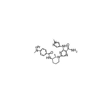 CCCN(C)c1ccc(C(=O)N[C@@H]2CCCN(c3cnc(C(N)=O)c(Nc4cnn(C)c4)n3)[C@@H]2C)cc1